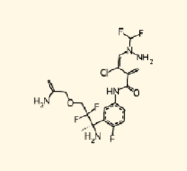 C=C(N)COCC(F)(F)[C@](C)(N)c1cc(NC(=O)C(=C)/C(Cl)=C\N(N)C(F)F)ccc1F